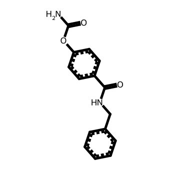 NC(=O)Oc1ccc(C(=O)NCc2ccccc2)cc1